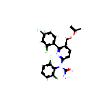 C=C(C)OCc1ccc(N(C(N)=O)c2c(F)cccc2F)nc1-c1ccc(F)cc1F